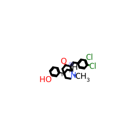 CN1CC[C@]2(c3cccc(O)c3)CC(=O)/C(=C/c3ccc(Cl)c(Cl)c3)[C@@H]1C2